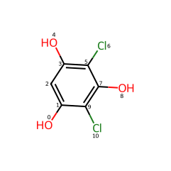 Oc1cc(O)c(Cl)c(O)c1Cl